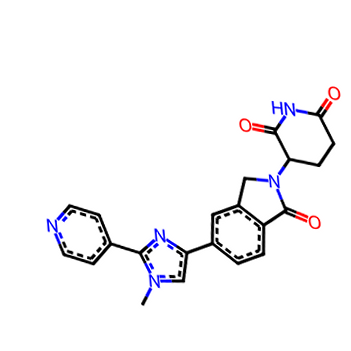 Cn1cc(-c2ccc3c(c2)CN(C2CCC(=O)NC2=O)C3=O)nc1-c1ccncc1